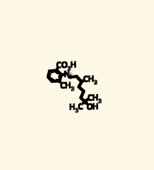 Cc1cccc(C(=O)O)c1/N=C/CC(C)CCCC(C)(C)O